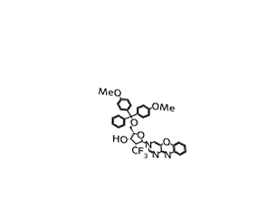 COc1ccc(C(OC[C@H]2O[C@@H](N3C=NC4=Nc5ccccc5OC4=C3)[C@H](C(F)(F)F)[C@@H]2O)(c2ccccc2)c2ccc(OC)cc2)cc1